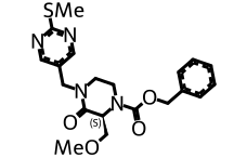 COC[C@H]1C(=O)N(Cc2cnc(SC)nc2)CCN1C(=O)OCc1ccccc1